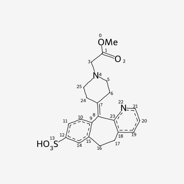 COC(=O)CN1CCC(=C2c3ccc(S(=O)(=O)O)cc3CCc3cccnc32)CC1